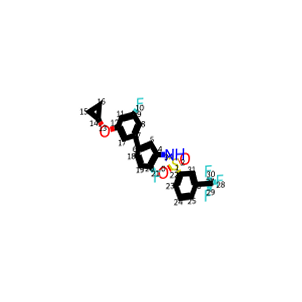 O=S(=O)(Nc1cc(-c2cc(F)cc(OC3CC3)c2)ccc1F)c1cccc(C(F)(F)F)c1